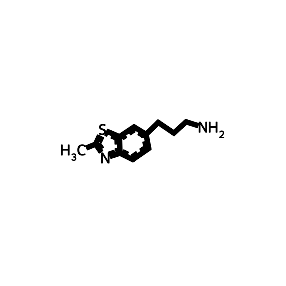 Cc1nc2ccc(CCCN)cc2s1